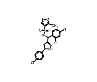 Cc1oncc1S(=O)(=O)NC(C1=NNC(c2ccc(Cl)cc2)C1)c1ccc(Cl)cc1Cl